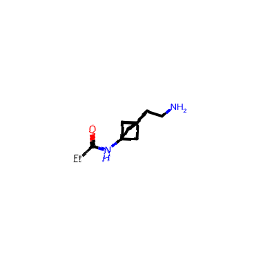 CCC(=O)NC12CC(CCN)(C1)C2